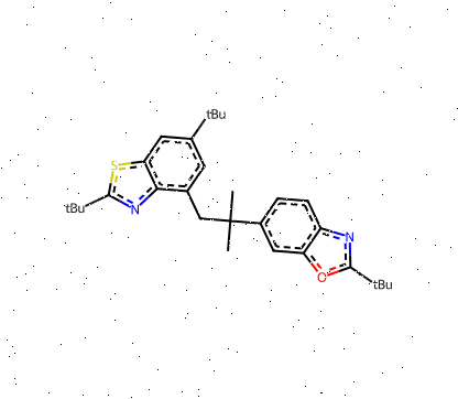 CC(C)(C)c1cc(CC(C)(C)c2ccc3nc(C(C)(C)C)oc3c2)c2nc(C(C)(C)C)sc2c1